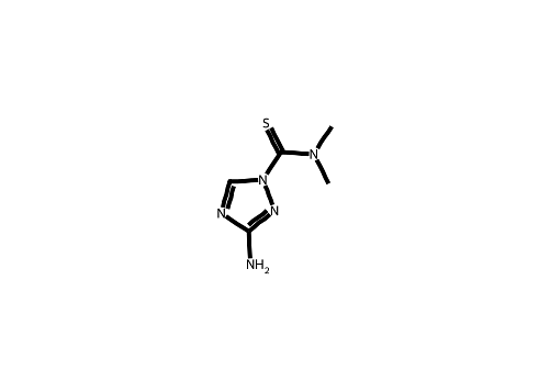 CN(C)C(=S)n1cnc(N)n1